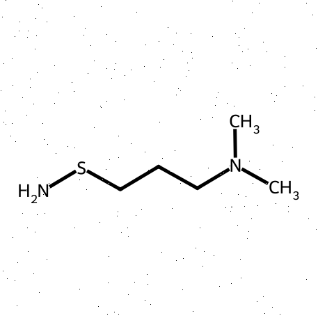 CN(C)CCCSN